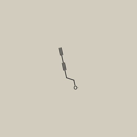 C#CC#CCC[O]